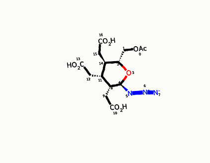 CC(=O)OC[C@@H]1O[C@@H](N=[N+]=[N-])[C@H](CC(=O)O)[C@H](CC(=O)O)[C@H]1CC(=O)O